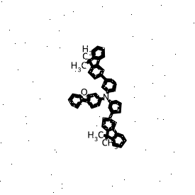 CC1(C)c2ccccc2-c2cc(-c3cccc(N(c4cccc(-c5ccc6c(c5)-c5ccccc5C6(C)C)c4)c4ccc5c(c4)oc4ccccc45)c3)ccc21